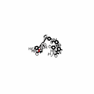 COc1cccc(Nc2c(C(N)=O)cnc3c(C)cc(S(=O)(=O)c4cccc(C(=O)Nc5ccc(C6(CCCCN(CC(O[Si](C)(C)C(C)(C)C)c7ccc(O)c8[nH]c(=O)ccc78)C(=O)O)SCCS6)cc5)c4)cc23)c1